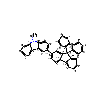 CC(C)n1c2ccccc2c2cc(-c3ccc4c(c3)C(c3ccccc3)(c3ccccc3)c3ccccc3-4)ccc21